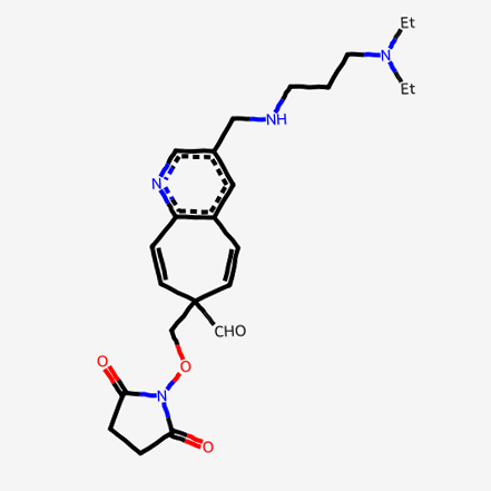 CCN(CC)CCCNCc1cnc2c(c1)C=CC(C=O)(CON1C(=O)CCC1=O)C=C2